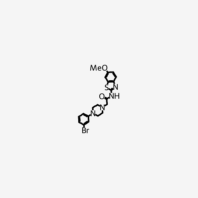 COc1ccc2nc(NC(=O)CN3CCN(c4cccc(Br)c4)CC3)sc2c1